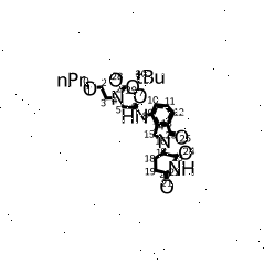 CCCOCCN(CC(=O)Nc1cccc2c1CN(C1CCC(=O)NC1=O)C2=O)C(=O)OC(C)(C)C